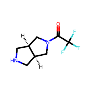 O=C(N1C[C@H]2CNC[C@H]2C1)C(F)(F)F